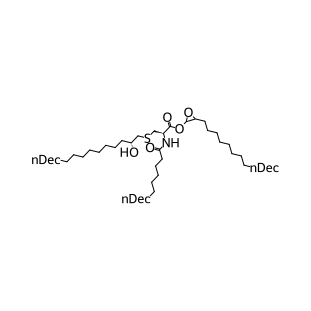 CCCCCCCCCCCCCCCCCCC1OC1OC(=O)[C@H](CSC[C@H](O)CCCCCCCCCCCCCCCCCC)NC(=O)CCCCCCCCCCCCCCC